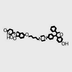 O=C1CCC(N2Cc3cc(OCCCCCN4CCN(c5ccc(C6c7ccc(O)cc7OCC6c6ccccc6)cc5)CC4)ccc3C2=O)C(=O)N1